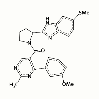 COc1cccc(-c2nc(C)ncc2C(=O)N2CCCC2c2nc3ccc(SC)cc3[nH]2)c1